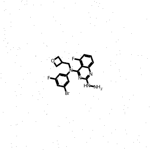 NNc1nc(N(CC2COC2)c2cc(F)cc(Br)c2)c2c(F)cccc2n1